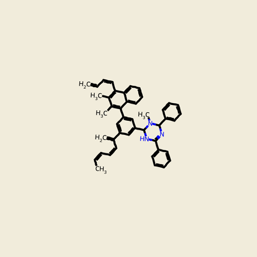 C=C/C=C\c1c(C)c(C)c(-c2cc(C(=C)/C=C\C=C/C)cc(C3NC(c4ccccc4)=NC(c4ccccc4)N3C)c2)c2ccccc12